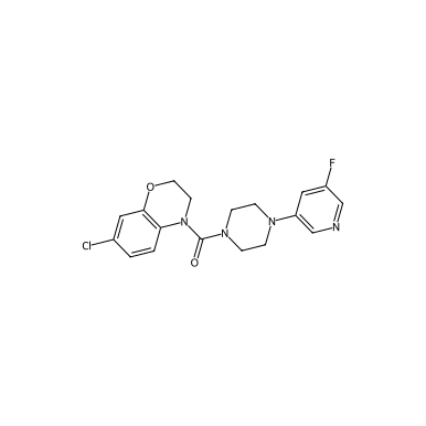 O=C(N1CCN(c2cncc(F)c2)CC1)N1CCOc2cc(Cl)ccc21